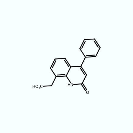 O=C(O)Cc1cccc2c(-c3ccccc3)cc(=O)[nH]c12